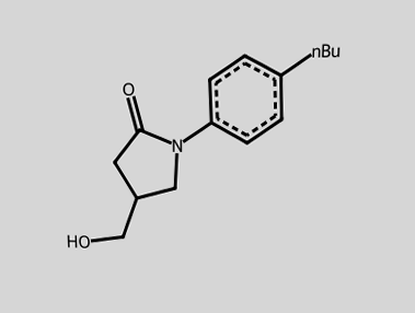 CCCCc1ccc(N2CC(CO)CC2=O)cc1